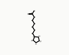 C=C(C)CCCCCCC1CCCC1